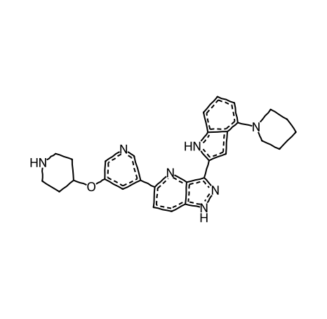 c1cc(N2CCCCC2)c2cc(-c3n[nH]c4ccc(-c5cncc(OC6CCNCC6)c5)nc34)[nH]c2c1